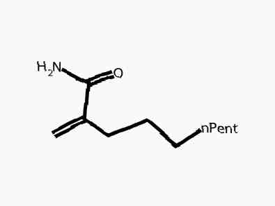 C=C(CCCCCCCC)C(N)=O